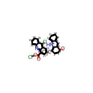 O=C(O)c1ccc(=O)c2cc3ccccc3[nH]c1-2.O=C(OCl)c1cccc2c(Cl)c3ccccc3nc12